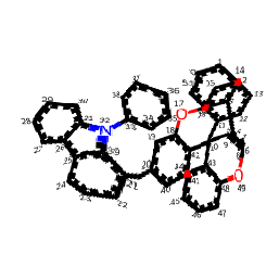 c1ccc(-c2cccc3c2C2(c4ccccc4Oc4cc(-c5cccc6c7ccccc7n(-c7ccccc7)c56)ccc42)c2ccccc2O3)cc1